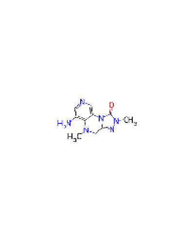 CN1Cc2nn(C)c(=O)n2-c2cncc(N)c21